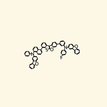 Fc1ccc(N(c2cccc(-c3ccc4c(c3)oc3sc5c(-c6cccc7c(N(c8ccccc8)c8ccc9oc%10ccccc%10c9c8)cccc67)cccc5c34)c2)c2ccc3oc4ccccc4c3c2)cc1